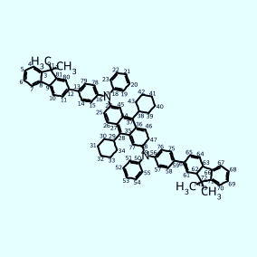 CC1(C)c2ccccc2-c2ccc(-c3ccc(N(c4ccccc4)c4ccc5c(C6CCCCC6)c6c(c(C7CCCCC7)c5c4)=CCC(N(c4ccccc4)c4ccc(C5=CC7C(C=C5)c5ccccc5C7(C)C)cc4)C=6)cc3)cc21